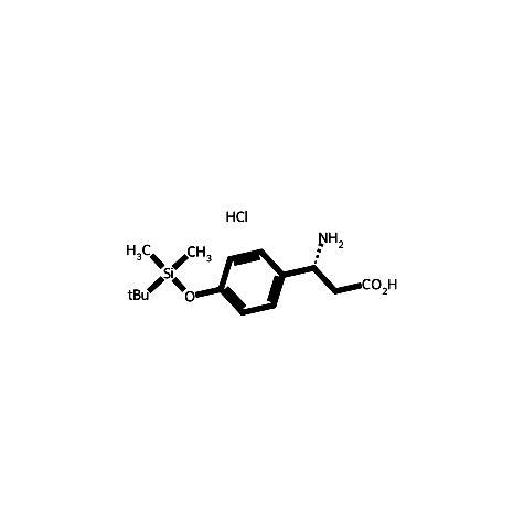 CC(C)(C)[Si](C)(C)Oc1ccc([C@H](N)CC(=O)O)cc1.Cl